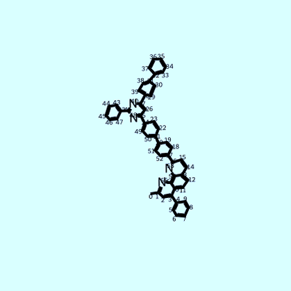 Cc1cc(-c2ccccc2)c2ccc3ccc(-c4ccc(-c5ccc(-c6cc(-c7ccc(-c8ccccc8)cc7)nc(-c7ccccc7)n6)cc5)cc4)nc3c2n1